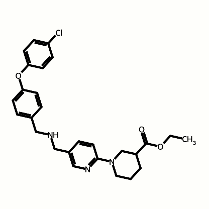 CCOC(=O)C1CCCN(c2ccc(CNCc3ccc(Oc4ccc(Cl)cc4)cc3)cn2)C1